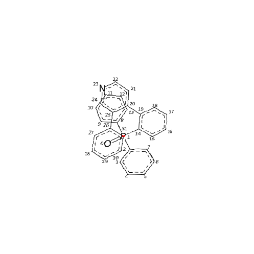 O=P(c1ccccc1)(c1ccccc1)c1ccccc1-c1ccncc1-c1ccccc1